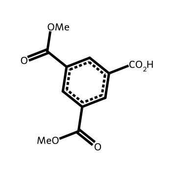 COC(=O)c1cc(C(=O)O)cc(C(=O)OC)c1